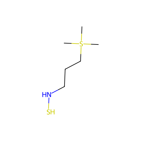 CS(C)(C)CCCNS